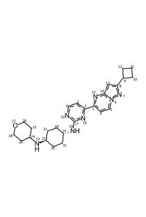 c1cc(-c2ccn3nc(C4CCC4)cc3n2)nc(N[C@H]2CC[C@H](NC3CCOCC3)CC2)n1